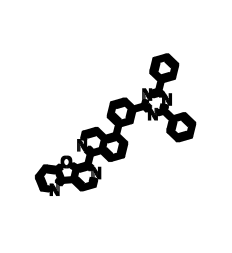 c1ccc(-c2nc(-c3ccccc3)nc(-c3cccc(-c4cccc5c(-c6nccc7c6oc6cccnc67)nccc45)c3)n2)cc1